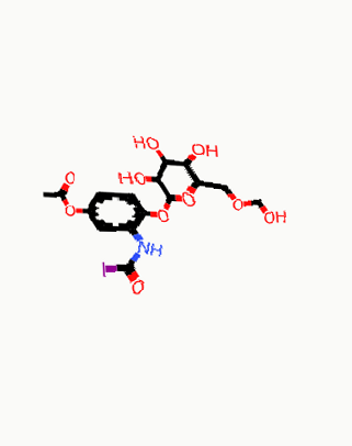 CC(=O)Oc1ccc(OC2OC(COCO)C(O)C(O)C2O)c(NC(=O)I)c1